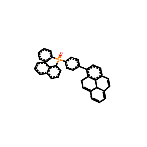 O=P(c1ccccc1)(c1ccc(-c2ccc3c4c2CC=C2C=CC=C(C=C3)C24)cc1)c1cccc2ccccc12